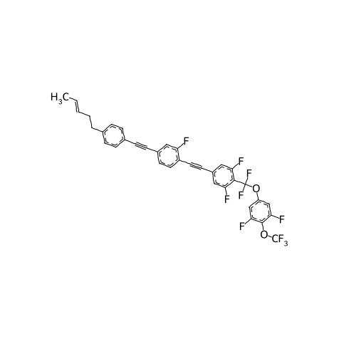 C/C=C/CCc1ccc(C#Cc2ccc(C#Cc3cc(F)c(C(F)(F)Oc4cc(F)c(OC(F)(F)F)c(F)c4)c(F)c3)c(F)c2)cc1